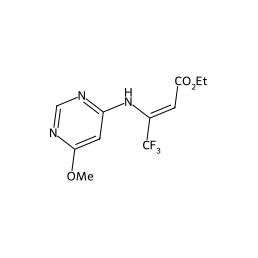 CCOC(=O)/C=C(\Nc1cc(OC)ncn1)C(F)(F)F